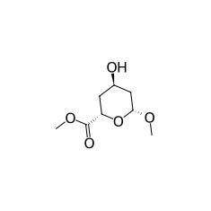 COC(=O)[C@@H]1C[C@@H](O)C[C@H](OC)O1